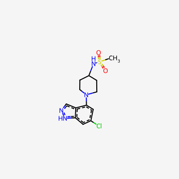 CS(=O)(=O)NC1CCN(c2cc(Cl)cc3[nH]ncc23)CC1